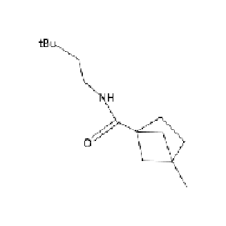 CC(C)(C)CCNC(=O)C12CCC(C)(C1)C2